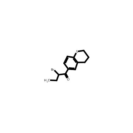 CCC(Br)C(=O)c1ccc2c(c1)CCCS2